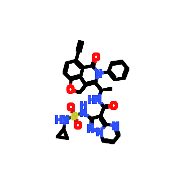 C#Cc1ccc2c3c(c([C@@H](C)NC(=O)c4c(NS(=O)(=O)NC5CC5)nn5cccnc45)n(-c4ccccc4)c(=O)c13)CO2